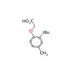 Cc1ccc(OCC(=O)O)c(C(C)(C)C)c1